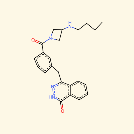 CCCCNC1CN(C(=O)c2cccc(Cc3n[nH]c(=O)c4ccccc34)c2)C1